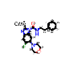 COc1nc2cc(F)c(N3CCOCC3)cc2n1C(=O)NCCc1ccccc1